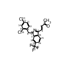 CC(=O)C=Cc1nn(Cc2ccc(Cl)cc2Cl)c2cc(C(F)(F)F)ccc12